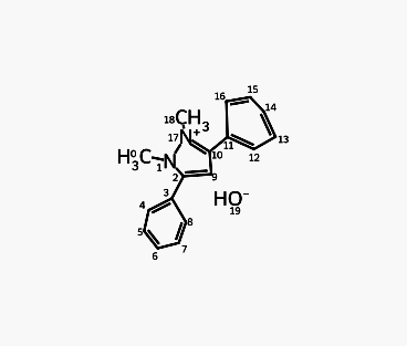 Cn1c(-c2ccccc2)cc(-c2ccccc2)[n+]1C.[OH-]